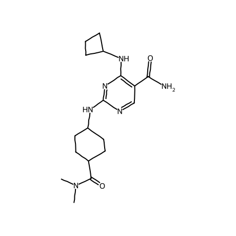 CN(C)C(=O)C1CCC(Nc2ncc(C(N)=O)c(NC3CCC3)n2)CC1